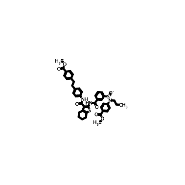 CCCN(c1ccc(C(=O)OC)cc1)[S+]([O-])c1cccc(C(=O)Nc2sc3c(c2C(=O)Nc2ccc(CCc4ccc(C(=O)OC)cc4)cc2)CCCC3)c1